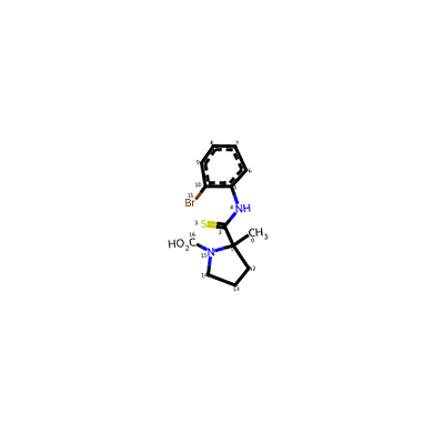 CC1(C(=S)Nc2ccccc2Br)CCCN1C(=O)O